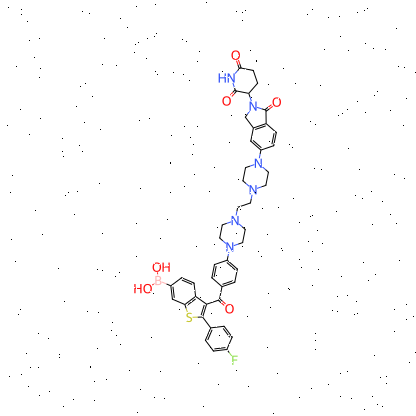 O=C1CCC(N2Cc3cc(N4CCN(CCN5CCN(c6ccc(C(=O)c7c(-c8ccc(F)cc8)sc8cc(B(O)O)ccc78)cc6)CC5)CC4)ccc3C2=O)C(=O)N1